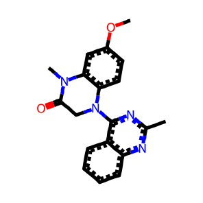 COc1ccc2c(c1)N(C)C(=O)CN2c1nc(C)nc2ccccc12